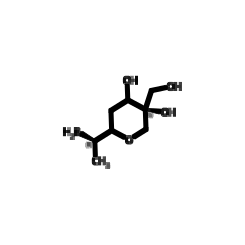 B[C@H](C)C1CC(O)[C@](O)(CO)CO1